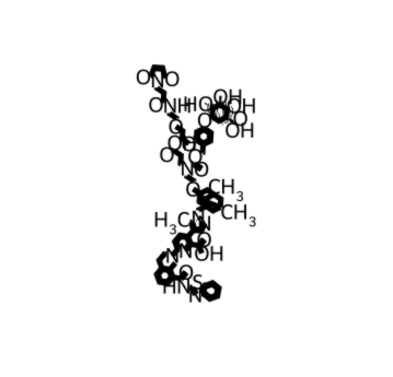 Cc1c(-c2ccc(N3CCc4cccc(C(=O)Nc5nc6ccccc6s5)c4C3)nc2C(=O)O)cnn1CC12CC3(C)CC(C)(C1)CC(OCCN(CCC(=O)O)C(=O)OCc1ccc(O[C@@H]4C[C@H](C(=O)O)[C@@H](O)[C@H](O)[C@H]4O)cc1OCCOCCNC(=O)CCN1C(=O)C=CC1=O)(C3)C2